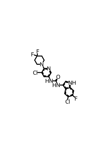 O=C(Nc1cnc(N2CCC(F)(F)CC2)c(Cl)c1)Nc1c[nH]c2cc(F)c(Cl)cc12